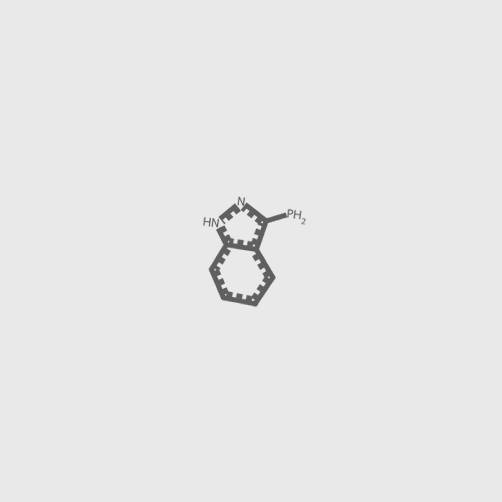 Pc1n[nH]c2ccccc12